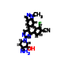 Cn1ncc2cc(-c3cnc(N4CCC(N)C(O)C4)nc3-c3ccc(C#N)c(F)c3)ccc21